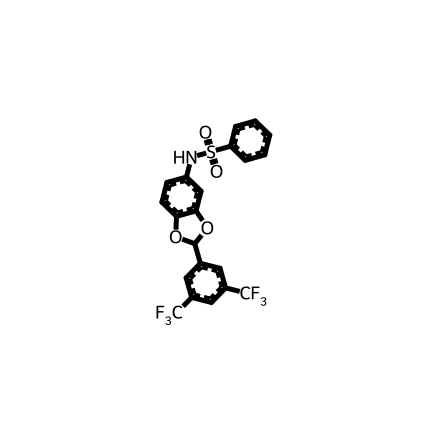 O=S(=O)(Nc1ccc2c(c1)OC(c1cc(C(F)(F)F)cc(C(F)(F)F)c1)O2)c1ccccc1